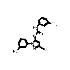 CC(C)(C)c1cc(NC(=O)Nc2cccc(C(F)(F)F)c2)n(-c2cccc(C#N)c2)n1